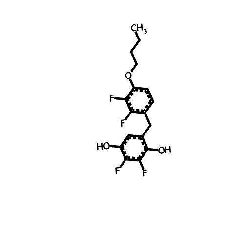 CCCCOc1ccc(Cc2cc(O)c(F)c(F)c2O)c(F)c1F